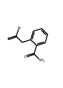 C=C(Br)Cc1ccccc1C(N)=O